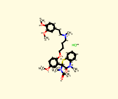 COc1ccc(OCCCCN(C)CCc2ccc(OC)c(OC)c2)c(C2(N(C)C(C)=O)Sc3ccccc3N(C)C2=O)c1.Cl